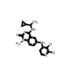 CC(Nc1nc(=O)n(C)c2ccc(Nc3ccnc(Cl)c3Cl)cc12)C1CC1